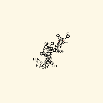 CCCC[C@@H](C(=O)N(C)CC(=O)N[C@@H](CC(=O)O)C(=O)N[C@H](C(=O)N(C)[C@@H](Cc1ccccc1)C(=O)N[C@@H](Cc1ccc(O)cc1)C(=O)N1CCC[C@@H]1C(=O)N[C@@H](Cc1c[nH]c2ccccc12)C(=O)N[C@@H](Cc1ccc(O)cc1)C(=O)N[C@@H](CC(C)C)C(=O)N[C@@H](CSCC(N)=O)C(N)=O)C(C)C)N(C)C(=O)[C@H](Cc1ccccc1)N(C)C(=O)CCc1cccc(Cl)c1